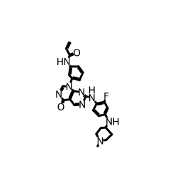 C=CC(=O)Nc1cccc(-n2cnc(=O)c3cnc(Nc4ccc(NC5CCN(C)CC5)cc4F)nc32)c1